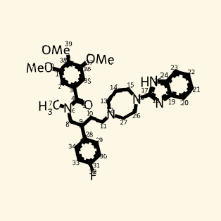 COc1cc(C(=O)N(C)CC(CCN2CCCN(c3nc4ccccc4[nH]3)CC2)c2ccc(F)cc2)cc(OC)c1OC